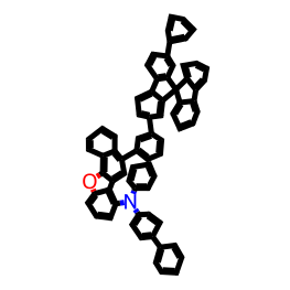 c1ccc(-c2ccc(N(c3ccccc3)c3cccc4oc5c6ccccc6c(-c6cccc(-c7ccc8c(c7)C7(c9ccccc9-c9ccccc97)c7cc(-c9ccccc9)ccc7-8)c6)cc5c34)cc2)cc1